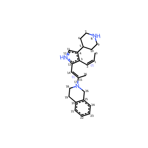 C/C=C\c1c(C2CCNCC2)c[nH]c1/C=C(\C)N1CCc2ccccc2C1